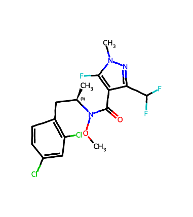 CON(C(=O)c1c(C(F)F)nn(C)c1F)[C@H](C)Cc1ccc(Cl)cc1Cl